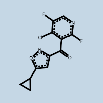 O=C(c1cc(C2CC2)on1)c1c(F)ncc(F)c1Cl